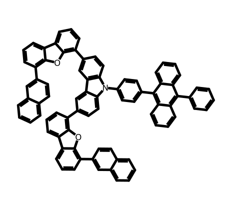 c1ccc(-c2c3ccccc3c(-c3ccc(-n4c5ccc(-c6cccc7c6oc6c(-c8ccc9ccccc9c8)cccc67)cc5c5cc(-c6cccc7c6oc6c(-c8ccc9ccccc9c8)cccc67)ccc54)cc3)c3ccccc23)cc1